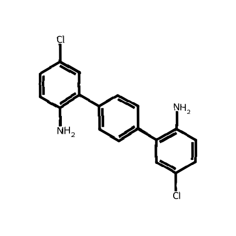 Nc1ccc(Cl)cc1-c1ccc(-c2cc(Cl)ccc2N)cc1